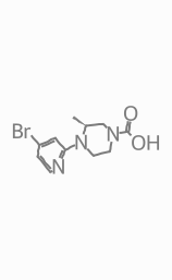 C[C@H]1CN(C(=O)O)CCN1c1cc(Br)ccn1